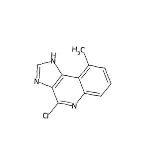 Cc1cccc2nc(Cl)c3nc[nH]c3c12